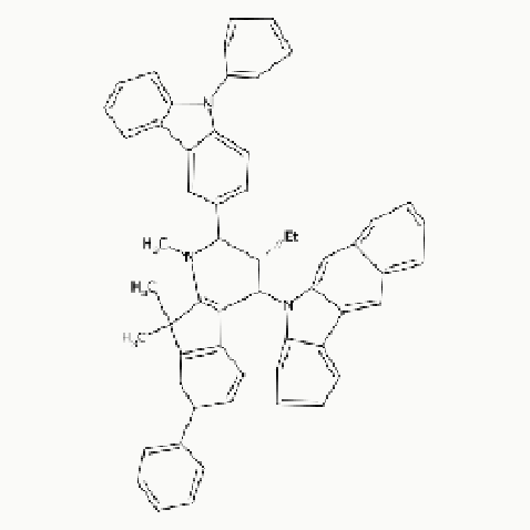 CC[C@H]1C(c2ccc3c(c2)c2ccccc2n3-c2ccccc2)N(C)C2=C(C3=C(CC(c4ccccc4)C=C3)C2(C)C)C1n1c2ccccc2c2cc3ccccc3cc21